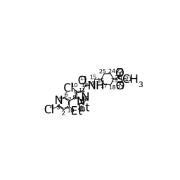 CCc1cc(Cl)ncc1-c1c(Cl)c(C(=O)NCC2CCC(S(C)(=O)=O)CC2)nn1CC